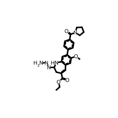 CCOC(=O)C1=Cc2cc(OC)c(-c3ccc(C(=O)N4CCCC4)cc3)cc2NC(N=NN)C1